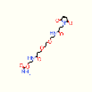 NC(=O)OCCNC(=O)CCOCCOCCNC(=O)CCN1C(=O)C=CC1=O